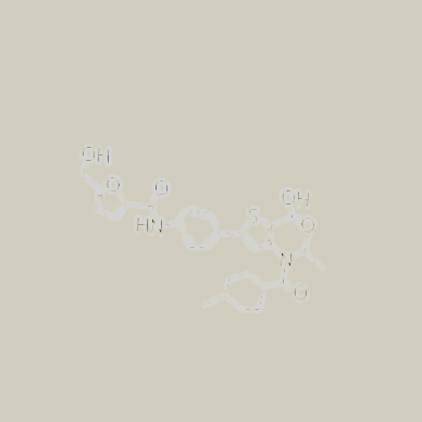 CC1CCC(C(=O)N(c2cc(-c3ccc(NC(=O)c4ccc(CO)o4)cc3)sc2C(=O)O)C(C)C)CC1